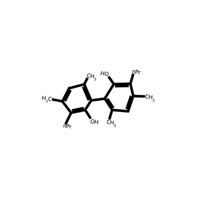 CCCc1c(C)cc(C)c(-c2c(C)cc(C)c(CCC)c2O)c1O